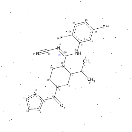 CC(C)C1CN(C(=O)c2cccs2)CCN1/C(=N\C#N)Nc1cc(F)ccc1F